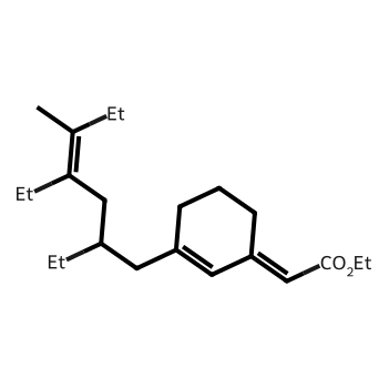 CCOC(=O)/C=C1/C=C(CC(CC)C/C(CC)=C(/C)CC)CCC1